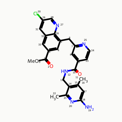 COC(=O)c1cc(Cc2cc(C(=O)NCc3c(C)cc(N)nc3C)ccn2)c2ncc(Cl)cc2c1